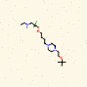 CCNCC(F)(F)COCCCCN1CCN(CCOC(C)(C)C)CC1